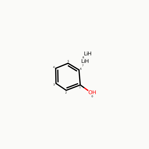 Oc1ccccc1.[LiH].[LiH]